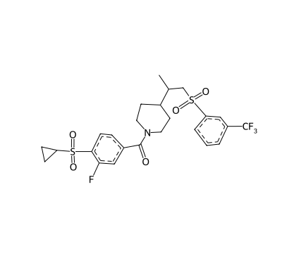 CC(CS(=O)(=O)c1cccc(C(F)(F)F)c1)C1CCN(C(=O)c2ccc(S(=O)(=O)C3CC3)c(F)c2)CC1